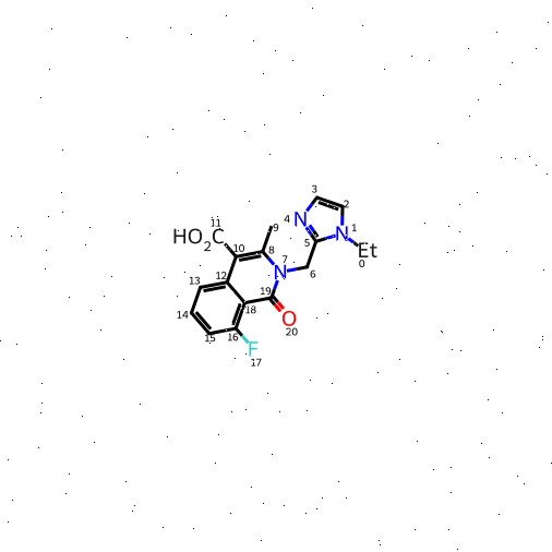 CCn1ccnc1Cn1c(C)c(C(=O)O)c2cccc(F)c2c1=O